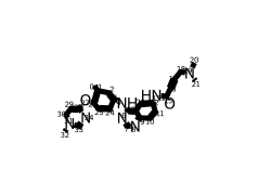 Cc1cc(Nc2ncnc3ccc(NC(=O)C#CCN(C)C)cc23)ccc1OC1=CCN(C)C=N1